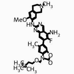 COc1cc2c(cc1Nc1ncc3c(N)c(F)c(-c4cc5oc(=O)n(COCC[Si](C)(C)C)c5cc4C)cc3n1)CN(C)CC2